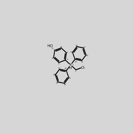 Cl.ClC[PH](c1ccccc1)(c1ccccc1)c1ccccc1